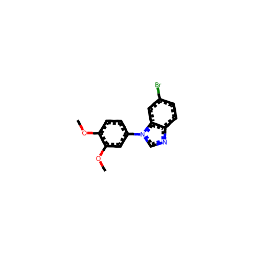 COc1ccc(-n2cnc3ccc(Br)cc32)cc1OC